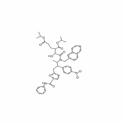 CC(C)OC(=O)CCC(C(=O)OC(C)C)C(O)C(=O)N(Cc1ccc2ccccc2c1)C(C)C(Cc1ccc(C(=O)Nc2ccccc2)o1)c1ccc([N+](=O)[O-])cc1